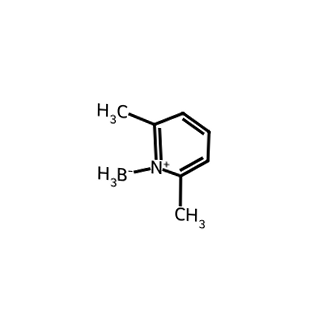 [BH3-][n+]1c(C)cccc1C